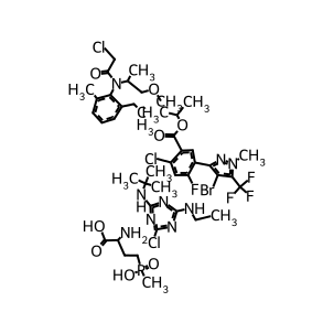 CC(C)OC(=O)c1cc(-c2nn(C)c(C(F)(F)F)c2Br)c(F)cc1Cl.CCNc1nc(Cl)nc(NC(C)(C)C)n1.CCc1cccc(C)c1N(C(=O)CCl)C(C)COC.CP(=O)(O)CCC(N)C(=O)O